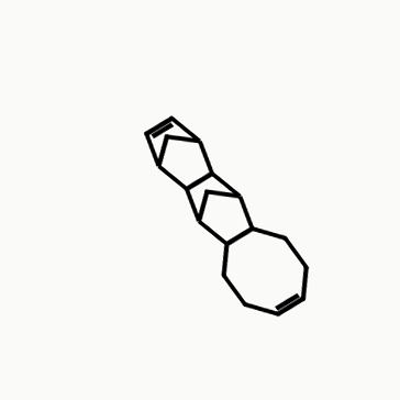 C1=CCCC2C(CC1)C1CC2C2C3C=CC(C3)C12